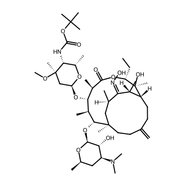 C=C1CC[C@@H]2[C@@H](C)/C(=N\O)[C@H](C)C[C@@](C)(CC1)[C@H](O[C@@H]1O[C@H](C)C[C@H](N(C)C)[C@H]1O)[C@@H](C)[C@H](O[C@H]1C[C@@](C)(OC)[C@H](NC(=O)OC(C)(C)C)[C@H](C)O1)[C@@H](C)C(=O)O[C@H](CC)[C@@]2(C)O